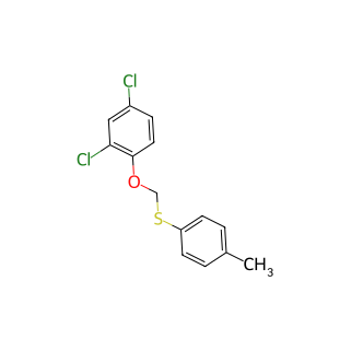 Cc1ccc(SCOc2ccc(Cl)cc2Cl)cc1